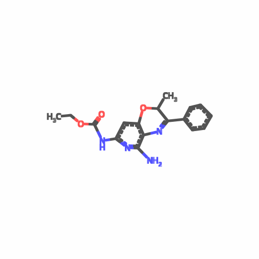 CCOC(=O)Nc1cc2c(c(N)n1)N=C(c1ccccc1)C(C)O2